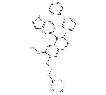 COc1cc2c(cc1OCCN1CCOCC1)C=NC(c1cccc(-c3ccccc3)c1)N2c1ccc2[nH]ncc2c1